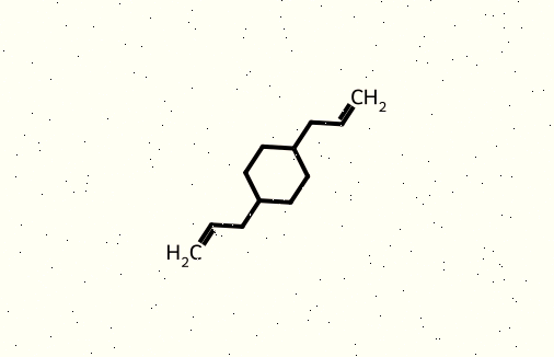 C=CCC1CCC(CC=C)CC1